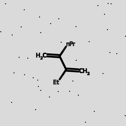 C=C(CC)C(=C)CCC